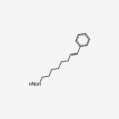 CCCCCCCCCCCCCCC/C=C/c1cc[c]cc1